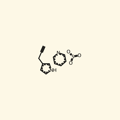 C#CCc1cc[nH]c1.O=S(=O)=O.c1ccncc1